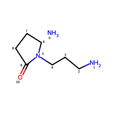 N.NCCCN1CCCC1=O